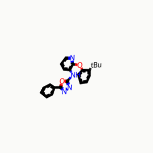 CC(C)(C)c1ccccc1Oc1ncccc1Nc1nnc(-c2ccccc2)o1